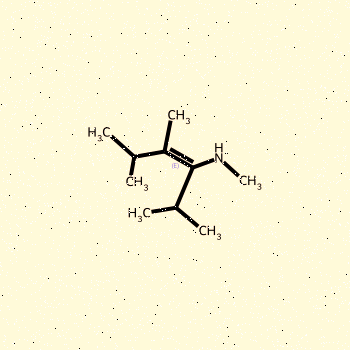 CN/C(=C(\C)C(C)C)C(C)C